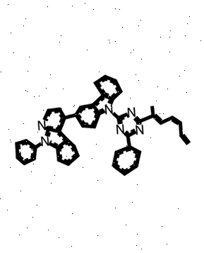 C=C/C=C\C=C(/C)c1nc(-c2ccccc2)nc(-n2c3ccccc3c3cc(-c4ccnc5c4c4ccccc4n5-c4ccccc4)ccc32)n1